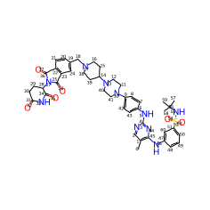 Cc1cnc(Nc2ccc(N3CCN(C4CCN(Cc5ccc6c(c5)C(=O)N(C5CCC(=O)NC5=O)C6=O)CC4)CC3)cc2)nc1Nc1cccc(S(=O)(=O)NC(C)(C)C)c1